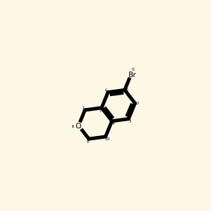 Brc1ccc2c(c1)COCC2